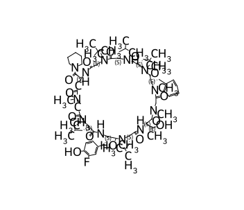 CC(C)C[C@@H]1NC(=O)[C@H](CC(C)C)N(C)C(=O)[C@H](Cc2ccccc2)N(C)C(=O)CN(C)C(=O)[C@H]([C@@H](C)O)NC(=O)[C@H](CC(C)C)N(C)C(O)[C@H](Cc2ccc(O)c(F)c2)NC(=O)[C@H](CC(C)C)N(C)C(=O)CN(C)C(=O)C[C@@H](C(=O)N2CCCCC2)NC(=O)[C@H](CC(C)C)N(C)C1=O